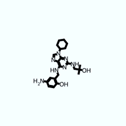 CC(C)(O)CNc1nc(NCc2cc(N)ccc2O)c2ncn(C3CCCCC3)c2n1